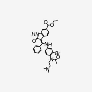 CCOC(=O)c1ccc2c(c1)NC(=O)C2=C(Nc1ccc(N(CCN(C)C)C(C)=O)c(Br)c1)c1ccccc1